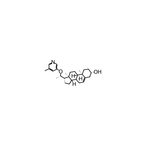 Cc1cncc(O[C@@H](C)[C@H]2CC[C@H]3[C@@H]4CC=C5C[C@@H](O)CC[C@]5(C)[C@H]4CC[C@]23C)c1